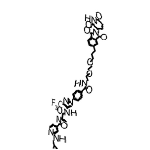 O=C1CCC(N2C(=O)c3ccc(CCCOCCOCCNC(=O)c4ccc(-n5cc(NC(=O)c6coc(-c7ccnc(NCC8CC8)c7)n6)c(C(F)(F)F)n5)cc4)cc3C2=O)C(=O)N1